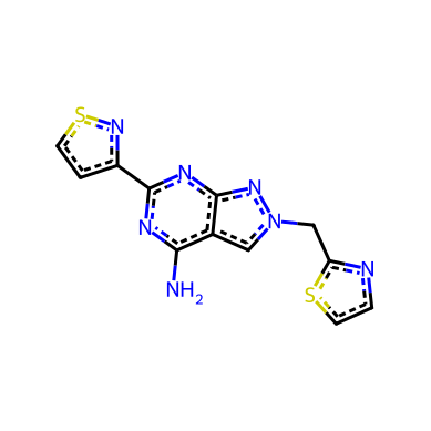 Nc1nc(-c2ccsn2)nc2nn(Cc3nccs3)cc12